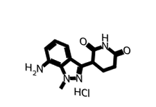 Cl.Cn1nc(C2CCC(=O)NC2=O)c2cccc(N)c21